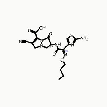 CCCCO/N=C(\C(=O)N[C@H]1CN2CC(C#N)=C(C(=O)O)N2C1=O)c1csc(N)n1